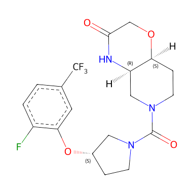 O=C1CO[C@H]2CCN(C(=O)N3CC[C@H](Oc4cc(C(F)(F)F)ccc4F)C3)C[C@H]2N1